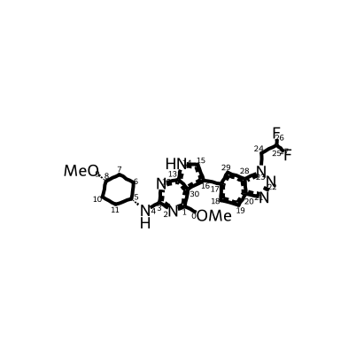 COc1nc(N[C@H]2CC[C@@H](OC)CC2)nc2[nH]cc(-c3ccc4nnn(CC(F)F)c4c3)c12